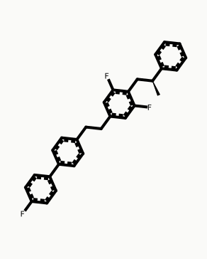 C[C@@H](Cc1c(F)cc(CCc2ccc(-c3ccc(F)cc3)cc2)cc1F)c1ccccc1